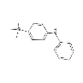 C[Si](C)(C)c1ccc(Nc2ccccc2)cc1